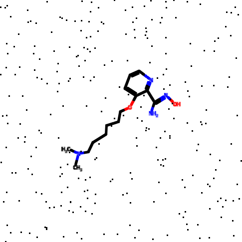 CN(C)CCCCCCOc1cccnc1C(N)=NO